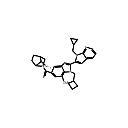 COc1cc(C(=O)N2CC3CCC2C3N)cc2nc(-c3cc4cccnc4n3CC3CC3)n(CC3CCC3)c12